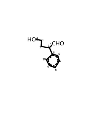 O=CC(CCO)c1ccccc1